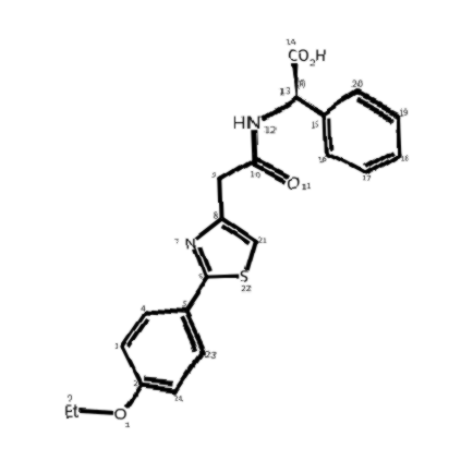 CCOc1ccc(-c2nc(CC(=O)N[C@@H](C(=O)O)c3ccccc3)cs2)cc1